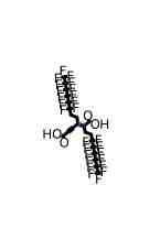 O=C(O)C#C/C(CCC(F)(F)C(F)(F)C(F)(F)C(F)(F)C(F)(F)C(F)(F)F)=C(\CCC(F)(F)C(F)(F)C(F)(F)C(F)(F)C(F)(F)C(F)(F)F)C(=O)O